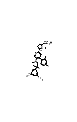 Cc1cc(F)ccc1-c1cc([C@H]2CC[C@@H](C(=O)O)N2)ncc1N(C)CC(C)(C)c1cc(C(F)(F)F)cc(C(F)(F)F)c1